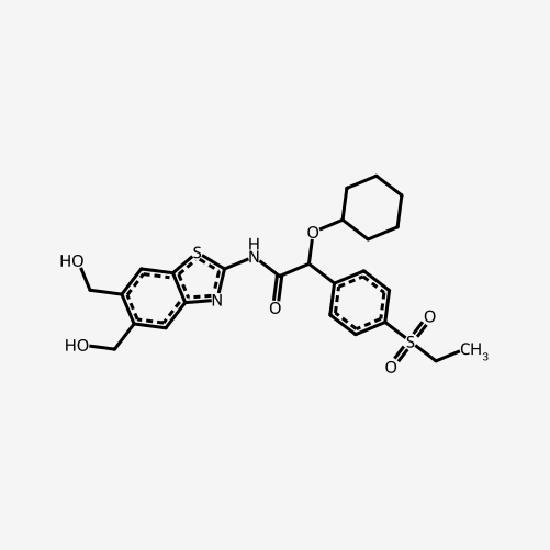 CCS(=O)(=O)c1ccc(C(OC2CCCCC2)C(=O)Nc2nc3cc(CO)c(CO)cc3s2)cc1